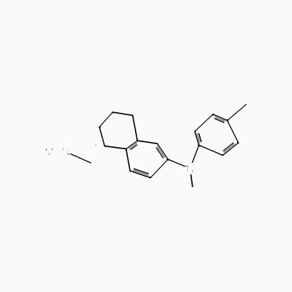 CNC[C@@H]1CCCc2cc(N(C)c3ccc(C)cc3)ccc21